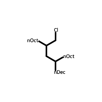 CCCCCCCCCCC(CCCCCCCC)CC(CCl)CCCCCCCC